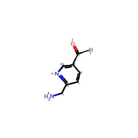 CCC(=O)c1ccc(CN)nc1